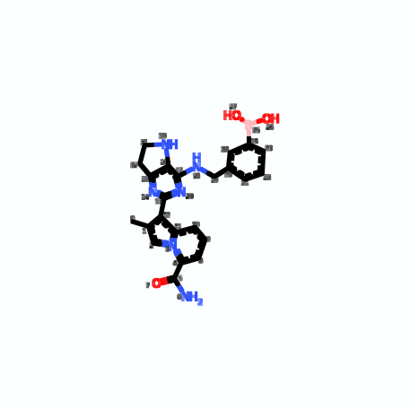 Cc1cn2c(C(N)=O)cccc2c1-c1nc2c(c(NCc3cccc(B(O)O)c3)n1)NCC2